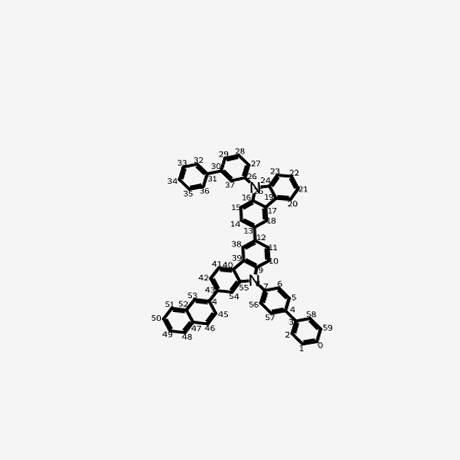 c1ccc(-c2ccc(-n3c4ccc(-c5ccc6c(c5)c5ccccc5n6-c5cccc(-c6ccccc6)c5)cc4c4ccc(-c5ccc6ccccc6c5)cc43)cc2)cc1